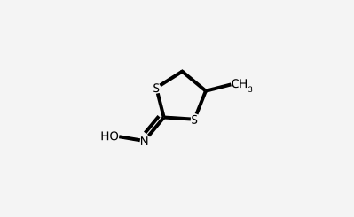 CC1CSC(=NO)S1